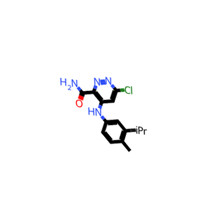 Cc1ccc(Nc2cc(Cl)nnc2C(N)=O)cc1C(C)C